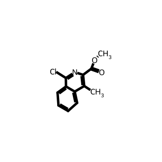 COC(=O)c1nc(Cl)c2ccccc2c1C